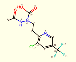 CC(=O)NN(CCc1ncc(C(F)(F)F)cc1Cl)C(=O)O